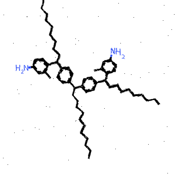 CCCCCCCCCCCC(c1ccc(C(CCCCCCCCC)c2ccc(N)cc2C)cc1)c1ccc(C(CCCCCCCCC)c2ccc(N)cc2C)cc1